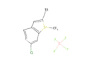 CCc1cc2ccc(Cl)cc2[s+]1C(F)(F)F.F[B-](F)(F)F